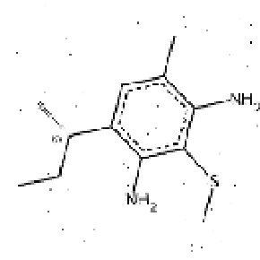 CC[C@H](C)c1cc(C)c(N)c(SC)c1N